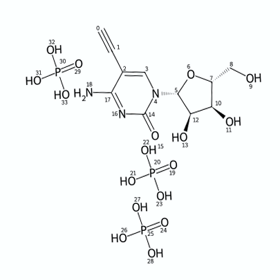 C#Cc1cn([C@@H]2O[C@H](CO)[C@@H](O)[C@H]2O)c(=O)nc1N.O=P(O)(O)O.O=P(O)(O)O.O=P(O)(O)O